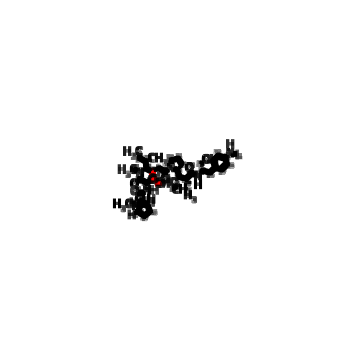 CC[C@H](C)[C@@H]([C@@H](CC(=O)N1CCC[C@H]1[C@H](OC)[C@@H](C)C(=O)N[C@H](CO)Cc1ccc(NI)cc1)OC)N(C)C(=O)[C@@H](NC(=O)[C@@H]1[C@H]2CC[C@@H]([C@H]2C)N1C)C(C)C